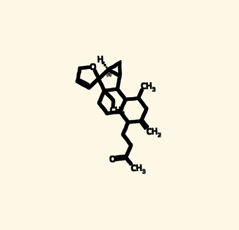 C=C1CC(C)C2C(CCC3(CC)C2C2C[C@@H]2C32C=CCO2)C1CCC(C)=O